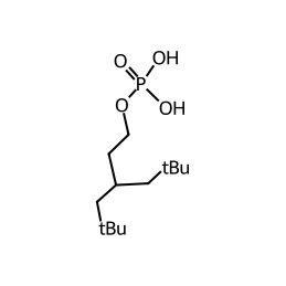 CC(C)(C)CC(CCOP(=O)(O)O)CC(C)(C)C